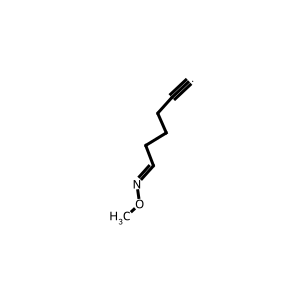 [C]#CCCCC=NOC